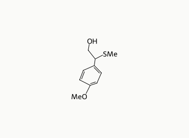 COc1ccc(C(CO)SC)cc1